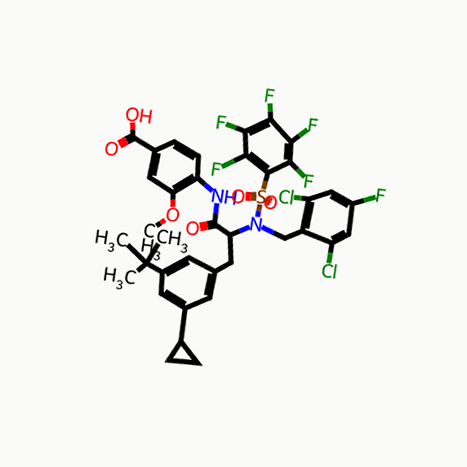 COc1cc(C(=O)O)ccc1NC(=O)C(Cc1cc(C2CC2)cc(C(C)(C)C)c1)N(Cc1c(Cl)cc(F)cc1Cl)S(=O)(=O)c1c(F)c(F)c(F)c(F)c1F